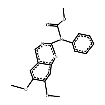 COC(=O)N(c1ccccc1)c1ncc2cc(OC)c(OC)cc2n1